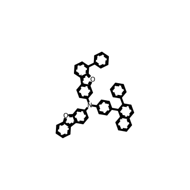 c1ccc(-c2ccc3ccccc3c2-c2ccc(N(c3ccc4c(c3)oc3ccccc34)c3ccc4c(c3)oc3c(-c5ccccc5)cccc34)cc2)cc1